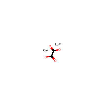 O=C([O-])C(=O)[O-].[Ca+2].[Lu+3]